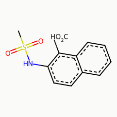 CS(=O)(=O)Nc1ccc2ccccc2c1C(=O)O